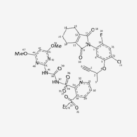 C#CC(C)Oc1cc(N2C(=O)C3=C(CCCC3)C2=O)c(F)cc1Cl.CCS(=O)(=O)c1cccnc1S(=O)(=O)NC(=O)Nc1nc(OC)cc(OC)n1